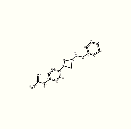 NC(=O)Nc1cnc(C2CC(OCc3ccccc3)C2)nc1